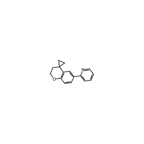 c1ccc(-c2ccc3c(c2)C2(CCO3)CC2)nc1